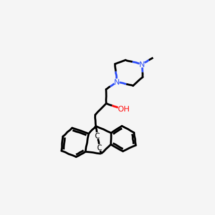 CN1CCN(CC(O)CC23CCC(c4ccccc42)c2ccccc23)CC1